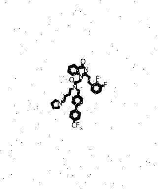 O=C(Cn1c(CCc2cccc(F)c2F)nc(=O)c2ccccc21)N(CCCCN1CCCC1)Cc1ccc(-c2ccc(C(F)(F)F)cc2)cc1